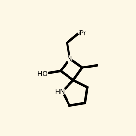 CC(C)CN1C(C)C2(CCCN2)C1O